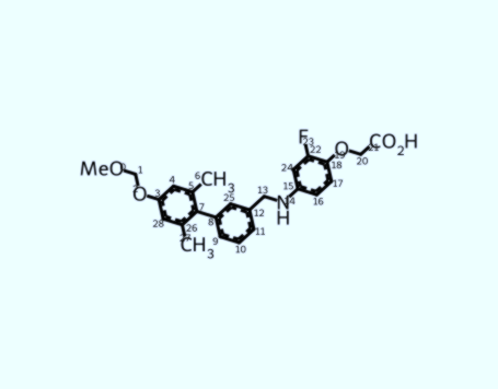 COCOc1cc(C)c(-c2cccc(CNc3ccc(OCC(=O)O)c(F)c3)c2)c(C)c1